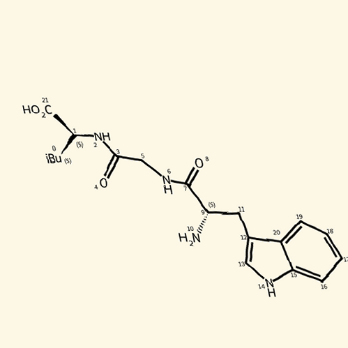 CC[C@H](C)[C@H](NC(=O)CNC(=O)[C@@H](N)Cc1c[nH]c2ccccc12)C(=O)O